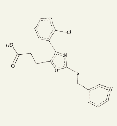 O=C(O)CCc1oc(SCc2cccnc2)nc1-c1ccccc1Cl